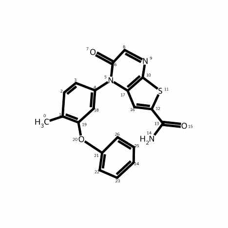 Cc1ccc(-n2c(=O)cnc3sc(C(N)=O)cc32)cc1Oc1ccccc1